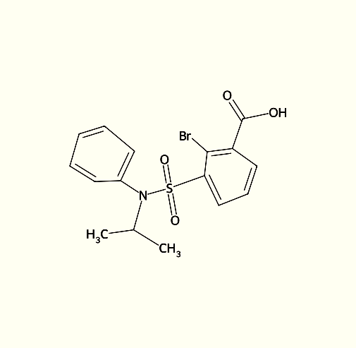 CC(C)N(c1ccccc1)S(=O)(=O)c1cccc(C(=O)O)c1Br